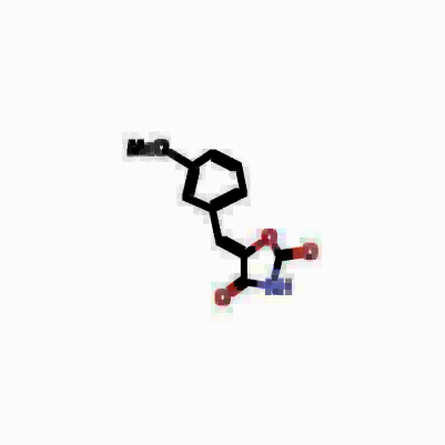 COc1cccc(/C=C2\OC(=O)NC2=O)c1